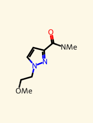 CNC(=O)c1ccn(CCOC)n1